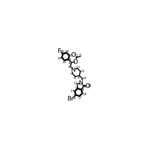 CC(=O)OC(CN1CCC(CN2Cc3cc(Br)ccc3C2=O)CC1)c1ccc(F)cc1